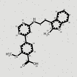 CSc1cc(-c2cc(NCCc3c(C)oc4ccccc34)ncn2)ccc1C(=O)O